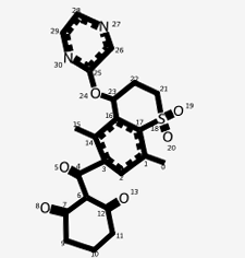 Cc1cc(C(=O)C2C(=O)CCCC2=O)c(C)c2c1S(=O)(=O)CCC2Oc1cnccn1